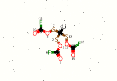 [Li][C](SOC(=O)F)(SOC(=O)F)SOC(=O)F